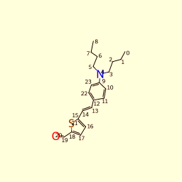 CCCCN(CCCC)c1ccc(/C=C/c2ccc(C=O)s2)cc1